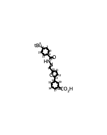 CC(C)(C)c1ccc(C(=O)N/N=C/c2ccc(-c3cccc(C(=O)O)c3)o2)cc1